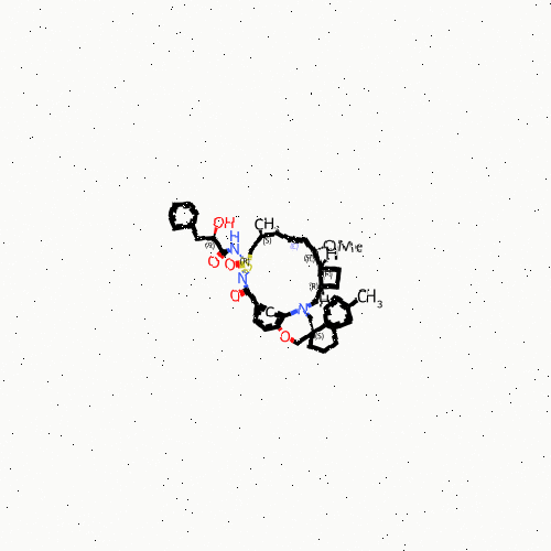 CO[C@H]1/C=C/C[C@H](C)C[S@@](=O)(NC(=O)[C@H](O)Cc2ccccc2)=NC(=O)c2ccc3c(c2)N(C[C@@H]2CC[C@H]21)C[C@@]1(CCCc2cc(C)ccc21)CO3